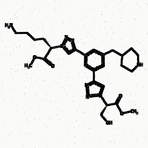 COC(=O)[C@H](CO)n1cc(-c2cc(CC3CCNCC3)cc(-c3cn([C@@H](CCCCN)C(=O)OC)nn3)c2)nn1